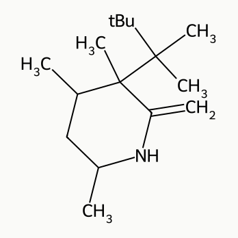 C=C1NC(C)CC(C)C1(C)C(C)(C)C(C)(C)C